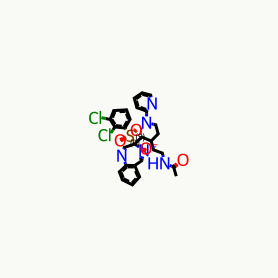 CC(=O)NCCC1CCN(c2ccccn2)C[C@H]1[C@@]1(S(=O)(=O)c2cccc(Cl)c2Cl)C=Nc2ccccc2C=[N+]1[O-]